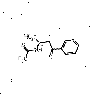 O=C(C[C@@H](NC(=O)C(F)(F)F)C(=O)O)c1ccccc1